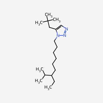 CCC(CCCCCCn1nncc1CC(C)(C)C)C(C)C